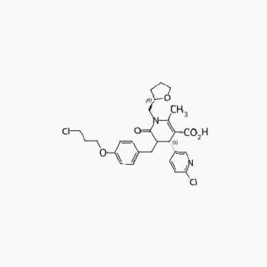 CC1=C(C(=O)O)[C@H](c2ccc(Cl)nc2)C(Cc2ccc(OCCCCl)cc2)C(=O)N1C[C@H]1CCCO1